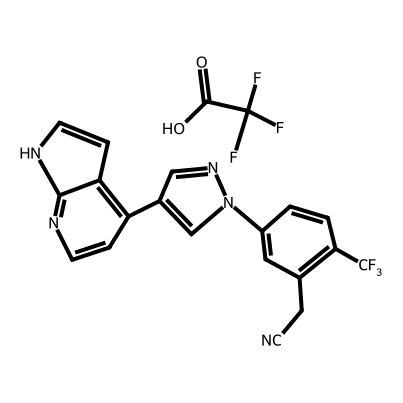 N#CCc1cc(-n2cc(-c3ccnc4[nH]ccc34)cn2)ccc1C(F)(F)F.O=C(O)C(F)(F)F